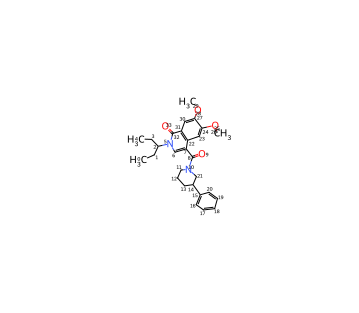 CCC(CC)n1cc(C(=O)N2CCCC(c3ccccc3)C2)c2cc(OC)c(OC)cc2c1=O